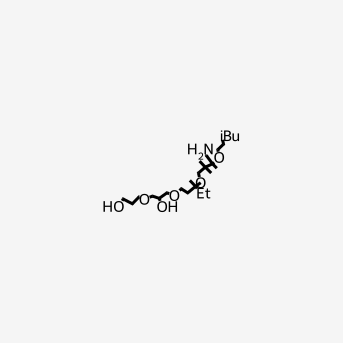 CCC(C)CCOC(C)(CN)C(C)(C)COC(C)(CC)CCOCC(O)COCCCO